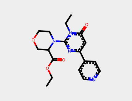 CCOC(=O)C1COCCN1c1nc(-c2ccncc2)cc(=O)n1CC